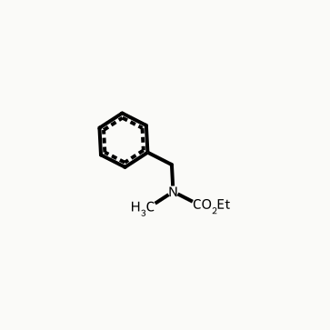 CCOC(=O)N(C)Cc1ccccc1